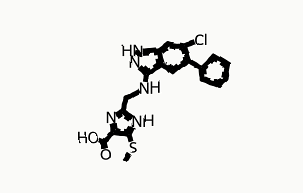 CSc1[nH]c(CNc2n[nH]c3cc(Cl)c(-c4ccccc4)cc23)nc1C(=O)O